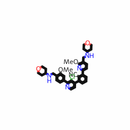 COc1cc(-c2nccc(-c3cccc(-c4ccc(CNC5CCOCC5)c(OC)n4)c3C#N)c2Cl)ccc1CNC1CCOCC1